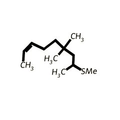 C/C=C\CCC(C)(C)CC(C)SC